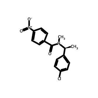 C[C@@H](c1ccc(Cl)cc1)N(C)C(=O)c1ccc([N+](=O)[O-])cc1